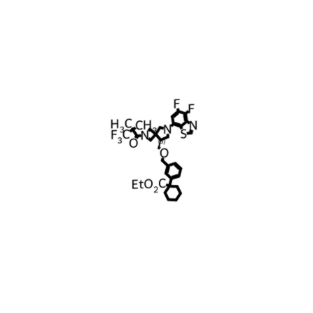 CCOC(=O)C1(c2cccc(COC[C@@H]3CN(c4cc(F)c(F)c5ncsc45)CC34CN(C(=O)C(C)(C)C(F)(F)F)C4)c2)CCCCC1